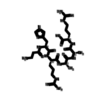 C[C@H](NC(=O)[C@H](C)NC(=O)[C@H](CCCNC(=N)N)NC(=O)[C@H](Cc1c[nH]cn1)NC(=O)CCN)C(=O)N[C@@H](CCCNC(=N)N)C(=O)O